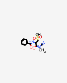 CN(C#N)C(=O)C(CS(C)(=O)=O)NC(=O)c1ccccc1